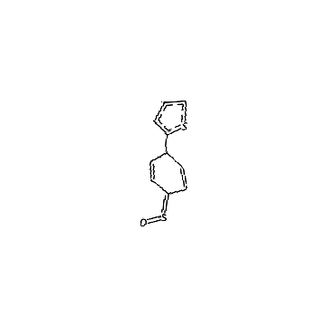 O=S=C1C=CC(c2c[c]cs2)C=C1